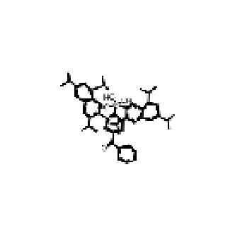 CC(C)c1cc(C(C)C)c2cc(-c3cc(C(=O)c4ccccc4)ccc3P(O)(O)(O)c3cc4c(C(C)C)cc(C(C)C)cc4cc3C(C)C)c(C(C)C)cc2c1